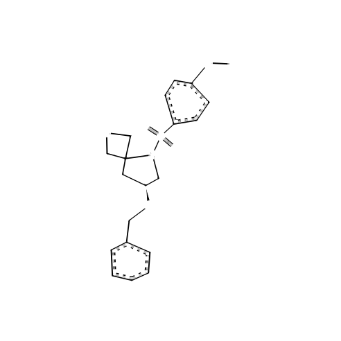 CCOc1ccc(S(=O)(=O)N2C[C@@H](OCc3ccccc3)CC23COC3)cc1